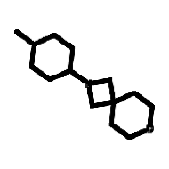 CC1CCC(N2CC3(CCOCC3)C2)CC1